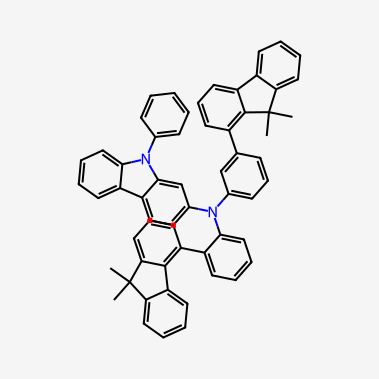 CC1(C)c2ccccc2-c2c(-c3ccccc3N(c3cccc(-c4cccc5c4C(C)(C)c4ccccc4-5)c3)c3ccc4c5ccccc5n(-c5ccccc5)c4c3)cccc21